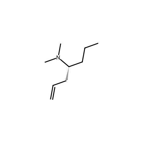 C=CC[C@@H](CCC)N(C)C